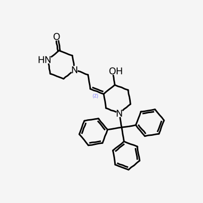 O=C1CN(C/C=C2/CN(C(c3ccccc3)(c3ccccc3)c3ccccc3)CCC2O)CCN1